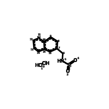 Cl.Cl.O=[SH](=O)NCc1ccc2ncccc2c1